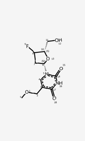 COCc1cn([C@@H]2CC(F)[C@H](CO)O2)c(=O)[nH]c1=O